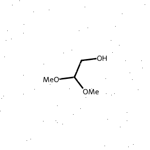 CO[C](CO)OC